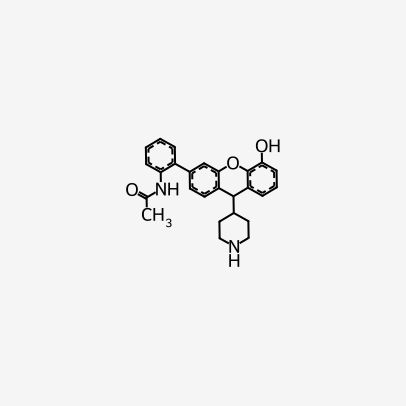 CC(=O)Nc1ccccc1-c1ccc2c(c1)Oc1c(O)cccc1C2C1CCNCC1